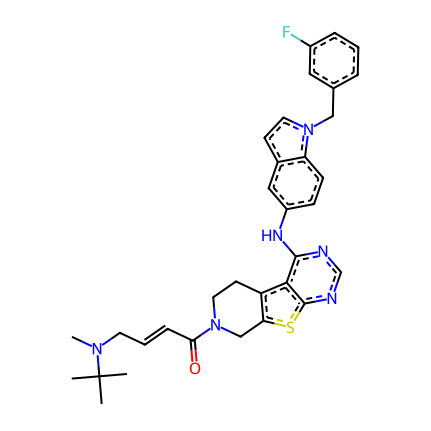 CN(C/C=C/C(=O)N1CCc2c(sc3ncnc(Nc4ccc5c(ccn5Cc5cccc(F)c5)c4)c23)C1)C(C)(C)C